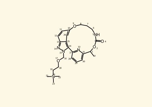 CC1OC(=O)NCCCOc2ccc3nn(COCC[Si](C)(C)C)c(c3c2)-c2cccc1n2